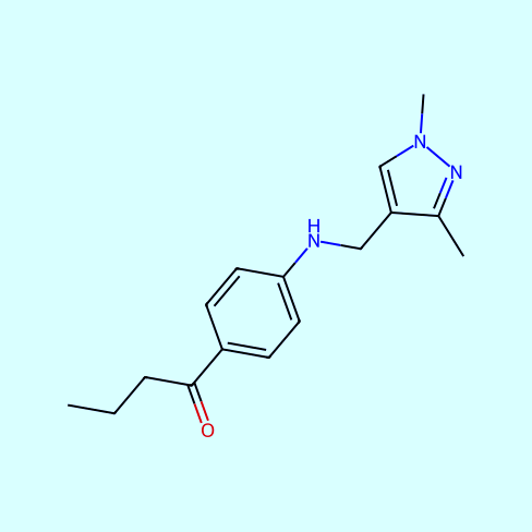 CCCC(=O)c1ccc(NCc2cn(C)nc2C)cc1